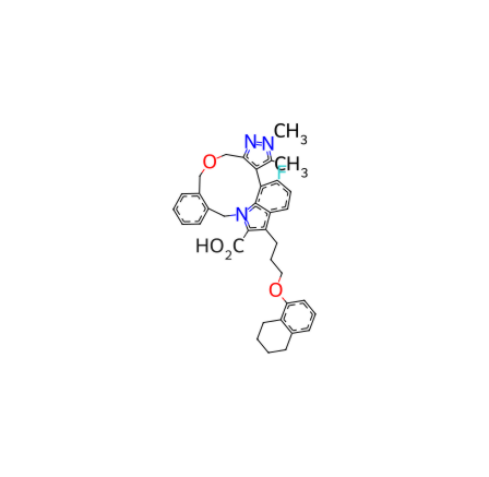 Cc1c2c(nn1C)COCc1ccccc1Cn1c(C(=O)O)c(CCCOc3cccc4c3CCCC4)c3ccc(F)c-2c31